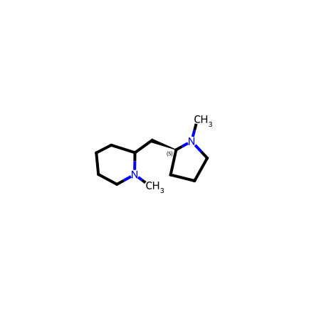 CN1CCCCC1C[C@@H]1CCCN1C